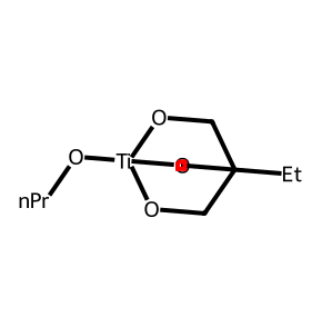 CCC[O][Ti]12[O]CC(CC)(C[O]1)C[O]2